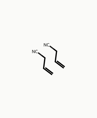 C=CCC#N.C=CCC#N